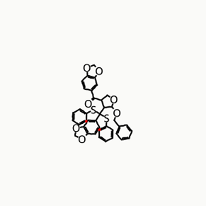 O=C(c1ccc2c(c1)OCO2)C1COC(OCc2ccccc2)C1C(Sc1ccccc1)(Sc1ccccc1)c1ccc2c(c1)OCO2